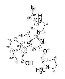 CN1CCC[C@H]1COc1nc2c(c(N3CCN[C@@H](CC#N)C3)n1)CCC1(CCCc3ccc(O)cc31)C2